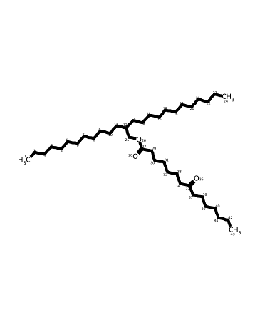 CCCCCCCCCCCCC(CCCCCCCCCCCC)COC(=O)CCCCCCC(=O)CCCCCCC